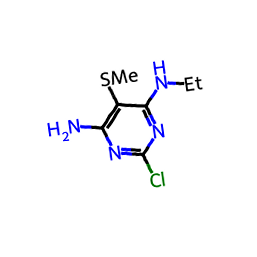 CCNc1nc(Cl)nc(N)c1SC